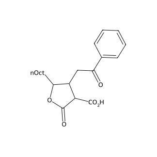 CCCCCCCCC1OC(=O)C(C(=O)O)C1CC(=O)c1ccccc1